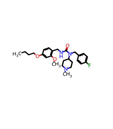 CCCCOc1ccc(CNC(=O)N(Cc2ccc(F)cc2)C2CCN(C)CC2)c(OC)c1